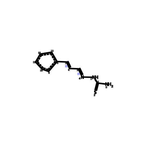 NC(=S)N/N=C/C=C/c1ccccc1